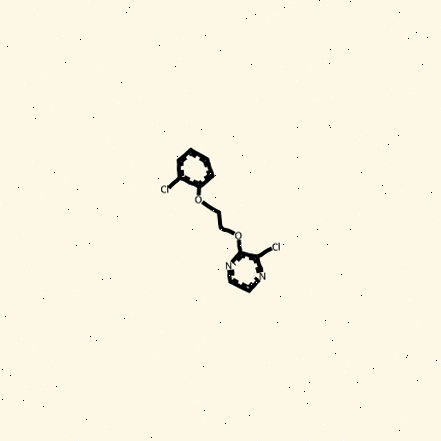 Clc1ccccc1OCCOc1nccnc1Cl